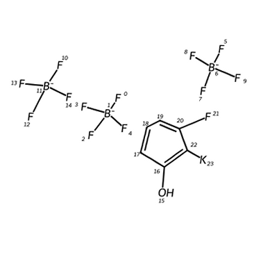 F[B-](F)(F)F.F[B-](F)(F)F.F[B-](F)(F)F.Oc1cccc(F)[c]1[K]